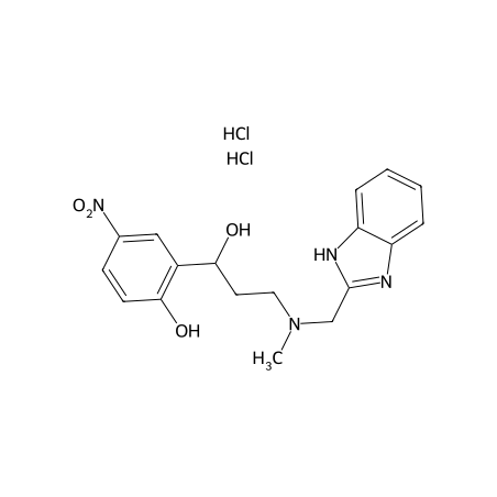 CN(CCC(O)c1cc([N+](=O)[O-])ccc1O)Cc1nc2ccccc2[nH]1.Cl.Cl